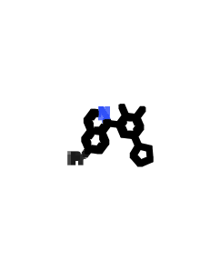 Cc1cc(C2CCCC2)cc(-c2nccc3cc(C(C)C)ccc23)c1C